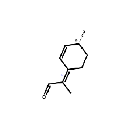 C/C(C=O)=C1/C=C[C@H](C)CC1